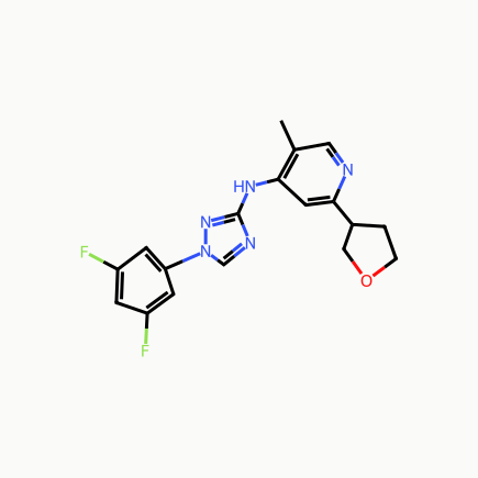 Cc1cnc(C2CCOC2)cc1Nc1ncn(-c2cc(F)cc(F)c2)n1